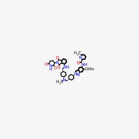 COc1cc2nn([C@H]3CC[C@H](CN(C)[C@H]4CC[C@H](CNc5cccc6c5C(=O)N(C5CCC(=O)NC5=O)C6=O)CC4)CC3)cc2cc1NC(=O)c1cccc(C)n1